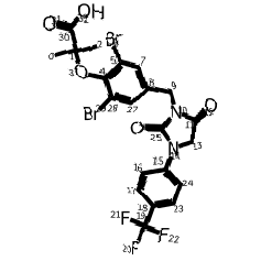 CC(C)(Oc1c(Br)cc(CN2C(=O)CN(c3ccc(C(F)(F)F)cc3)C2=O)cc1Br)C(=O)O